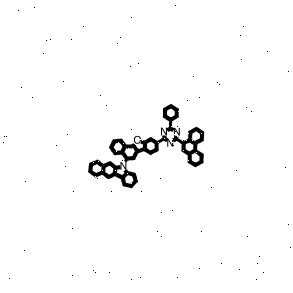 c1ccc(-c2nc(-c3ccc4c(c3)oc3c5ccccc5c(-n5c6ccccc6c6cc7ccccc7cc65)cc43)nc(-c3cc4ccccc4c4ccccc34)n2)cc1